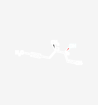 [CH]=C[C@H](O)[C@H](C)CC#CC